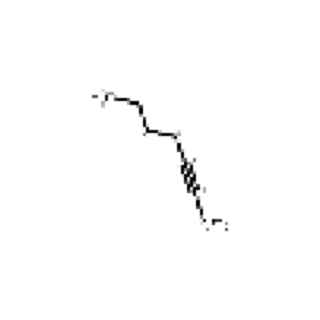 CCCCC#[C][SbH2]